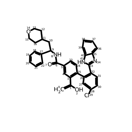 C=C(O)c1cc(C(=O)NC(CC2CCOCC2)c2ccccc2)ccc1-c1cc(Cl)ccc1-c1nc2ccccc2[nH]1